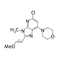 CO/C=C/c1nc2c(N3CCOCC3)cc(Cl)nc2n1C